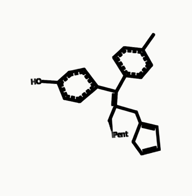 CCC[C@H](C)C/C(CC1=CC=CC1)=C(/c1ccc(C)cc1)c1ccc(O)cc1